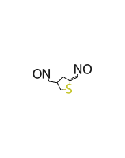 O=N/C=C1\CC(CN=O)CS1